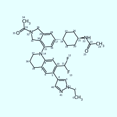 CCn1cc(-c2cc3c(cc2C(F)F)N(c2cc([C@H]4CC[C@H](NC(C)=O)CC4)cc4c2CN(C(C)=O)C4)CCC3)cn1